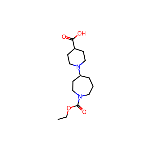 CCOC(=O)N1CCCC(N2CCC(C(=O)O)CC2)CC1